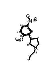 CCCN1CCC(c2cc([N+](=O)[O-])ccc2OC)C1